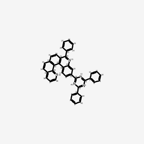 c1ccc(-c2nc(-c3ccccc3)nc(-c3ccc4c(c3)nc(-c3ccccc3)c3ccc5ccc6cccnc6c5c34)n2)cc1